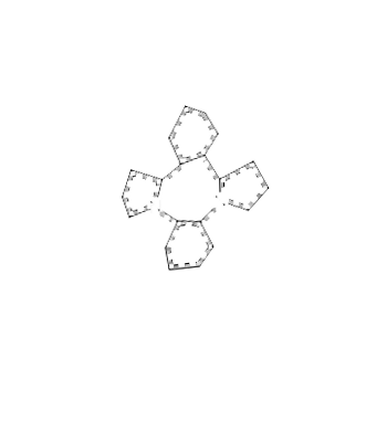 c1ccc2c(c1)c1cccn1c1ccccc1n1cccc21